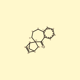 O=C1c2ccccc2CCCC12CC1C=CC2C1